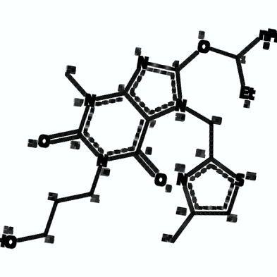 CCCC(CC)Oc1nc2c(c(=O)n(CCCO)c(=O)n2C)n1Cc1nc(C)cs1